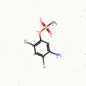 CS(=O)(=O)Oc1cc(N)c(F)cc1Cl